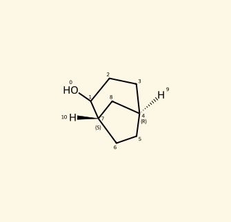 OC1CC[C@H]2CC[C@H]1C2